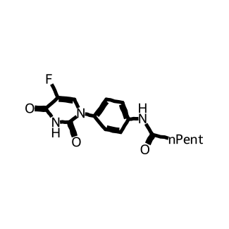 CCCCCC(=O)Nc1ccc(-n2cc(F)c(=O)[nH]c2=O)cc1